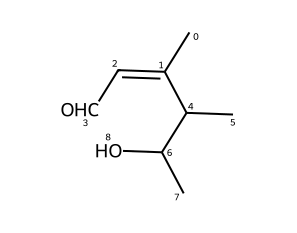 CC(=CC=O)C(C)C(C)O